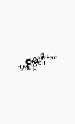 CCCCCC(=O)OC[C@H]1O[C@@H](N2C=CCC(C(N)=O)=C2)[C@H](O)[C@@H]1O